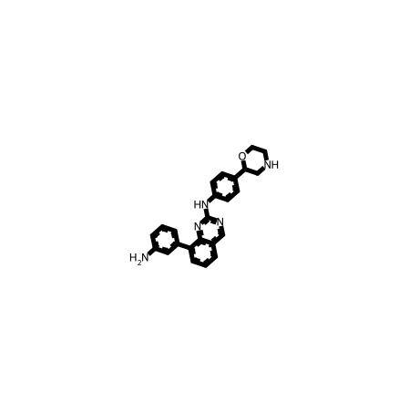 Nc1cccc(-c2cccc3cnc(Nc4ccc(C5CNCCO5)cc4)nc23)c1